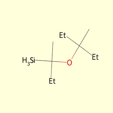 CCC(C)([SiH3])OC(C)(CC)CC